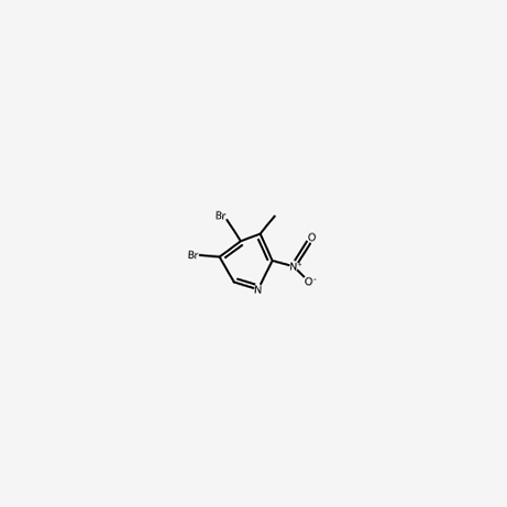 Cc1c([N+](=O)[O-])ncc(Br)c1Br